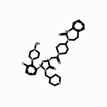 CC(C)(C)N1CCN(c2c(F)cccc2[C@H]2S[C@@H](CC(=O)N3CCC(N4CCc5ccccc5NC4=O)CC3)C(=O)N2CC2CCOCC2)CC1